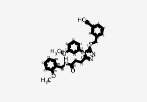 C#Cc1cccc(CSc2nnc(CCC(=O)NCc3ccccc3OC)n2-c2cccc(OC)c2)c1